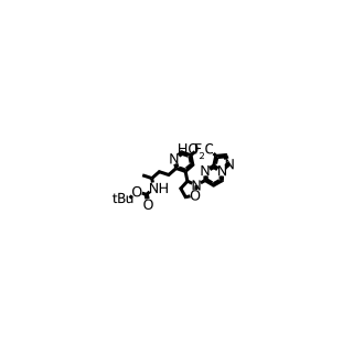 CC(CCc1ncc(F)cc1C1CCON1c1ccn2ncc(C(=O)O)c2n1)NC(=O)OC(C)(C)C